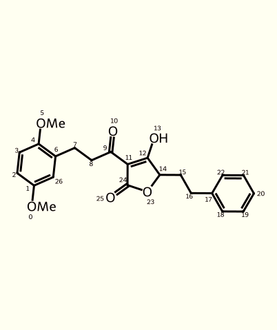 COc1ccc(OC)c(CCC(=O)C2=C(O)C(CCc3ccccc3)OC2=O)c1